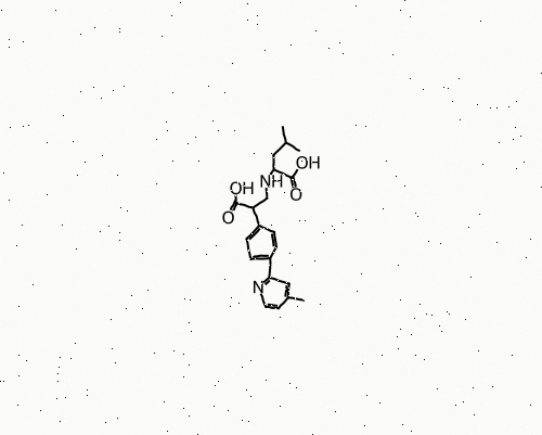 Cc1ccnc(-c2ccc(C(CNC(CC(C)C)C(=O)O)C(=O)O)cc2)c1